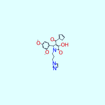 COc1ccc(C2C(C(=O)C3=CC=CC3)=C(O)C(=O)N2CCCn2ccnc2)c(OC)c1